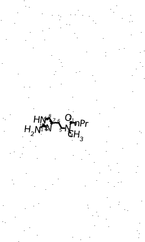 CCCC(=O)N(C)CCc1c[nH]c(N)n1